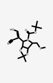 CSCC1C2OC(C)(C)OC2C(/C(C#N)=C/O)N1C(=O)OC(C)(C)C